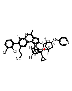 Cc1nc2c(F)c(-c3cccc(Cl)c3Cl)c(CCC#N)cc2c2c1cc([C@H]1[C@H]3C[C@H](C[C@@H]3Oc3ccncc3)N1C(=O)C1CC1)n2[C@H]1[C@H]2CN[C@@H]1C2